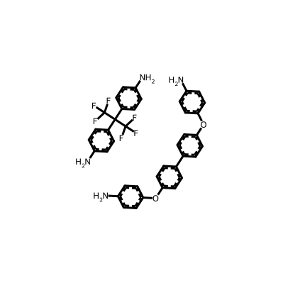 Nc1ccc(C(c2ccc(N)cc2)(C(F)(F)F)C(F)(F)F)cc1.Nc1ccc(Oc2ccc(-c3ccc(Oc4ccc(N)cc4)cc3)cc2)cc1